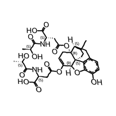 CC1CC[C@]23c4c5ccc(O)c4O[C@H]2C(OC(=O)C[C@H](NC(=O)[C@H](C)O)C(=O)O)=CC[C@@]3(OC(=O)C[C@H](NC(=O)[C@H](C)O)C(=O)O)[C@H]1C5